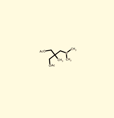 CC(=O)OCC(C)(COC(C)=O)CN(C)C